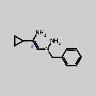 N/C(=C\N(N)Cc1ccccc1)C1CC1